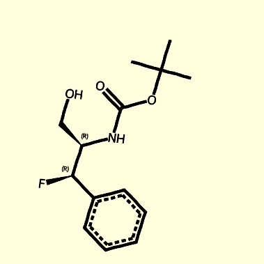 CC(C)(C)OC(=O)N[C@H](CO)[C@H](F)c1ccccc1